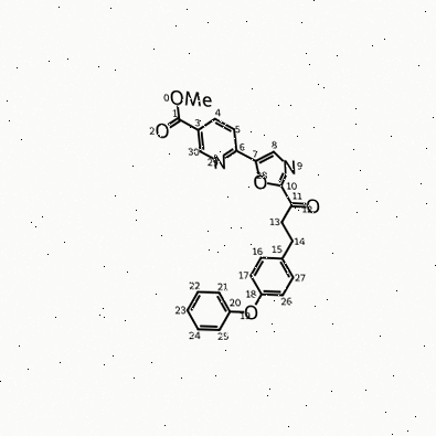 COC(=O)c1ccc(-c2cnc(C(=O)CCc3ccc(Oc4ccccc4)cc3)o2)nc1